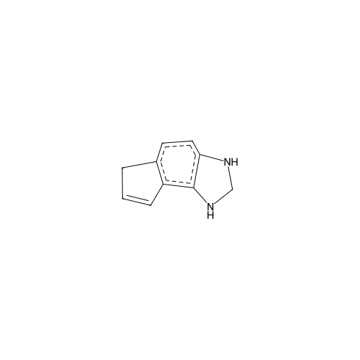 C1=Cc2c(ccc3c2NCN3)C1